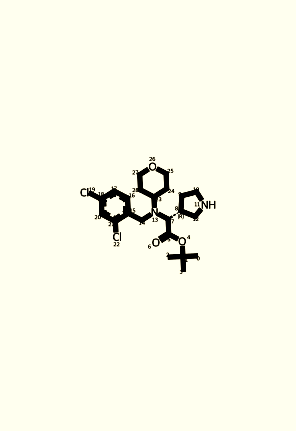 CC(C)(C)OC(=O)C([C@@H]1CCNC1)N(Cc1ccc(Cl)cc1Cl)C1CCOCC1